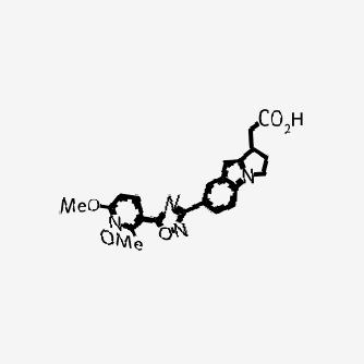 COc1ccc(-c2nc(-c3ccc4c(c3)cc3n4CCC3CC(=O)O)no2)c(OC)n1